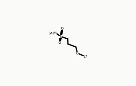 CCOCCCS(=O)(=O)NC